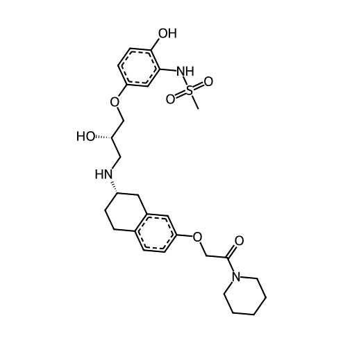 CS(=O)(=O)Nc1cc(OC[C@@H](O)CN[C@H]2CCc3ccc(OCC(=O)N4CCCCC4)cc3C2)ccc1O